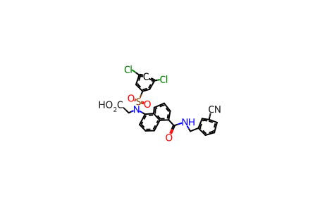 N#Cc1cccc(CNC(=O)c2cccc3c(N(CC(=O)O)S(=O)(=O)c4cc(Cl)cc(Cl)c4)cccc23)c1